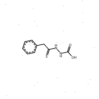 O=C(O)NNC(=S)Cc1ccccc1